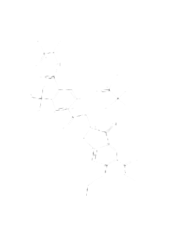 CCOc1cc2c(cc1C(=O)NC)C(=N)N(CC(=O)c1ccc(C(=O)NC(C)C(=O)O)c(C(C)(C)C)c1)C2.O=C(O)C(F)(F)F